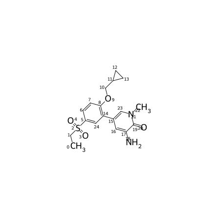 CCS(=O)(=O)c1ccc(OCC2CC2)c(-c2cc(N)c(=O)n(C)c2)c1